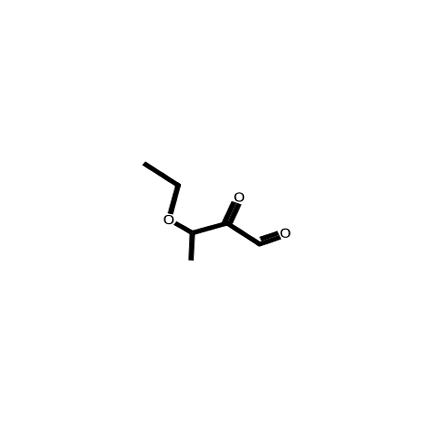 CCOC(C)C(=O)C=O